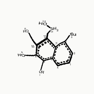 CC(C)(C)c1cccc2c(O)c(O)c(O)c([SiH2]O)c12